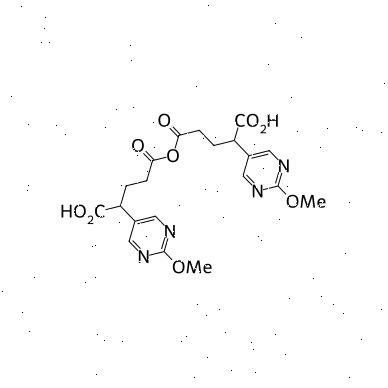 COc1ncc(C(CCC(=O)OC(=O)CCC(C(=O)O)c2cnc(OC)nc2)C(=O)O)cn1